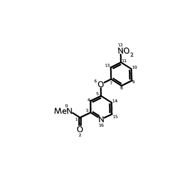 CNC(=O)c1cc(Oc2cccc([N+](=O)[O-])c2)ccn1